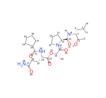 CC(=O)[C@@H](CC(C)C)N(C)C(=O)[C@@H]1CCCN1C(=O)[C@H](C)OC(=O)[C@H](CCC(N)=O)NC(=O)C1CCCC1